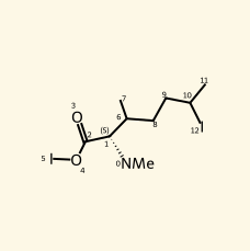 CN[C@H](C(=O)OI)C(C)CCC(C)I